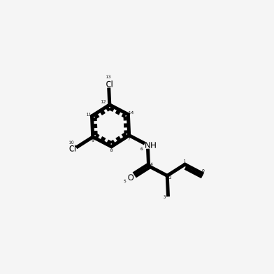 C=CC(C)C(=O)Nc1cc(Cl)cc(Cl)c1